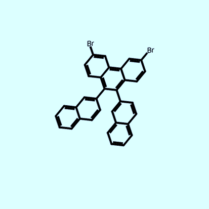 Brc1ccc2c(-c3ccc4ccccc4c3)c(-c3ccc4ccccc4c3)c3ccc(Br)cc3c2c1